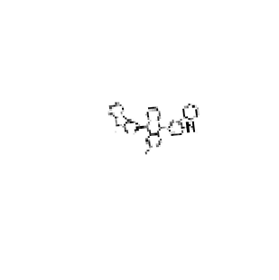 Cc1ccc2c(-c3ccc4c(c3)c3c(n4C)C=CCC3)c3ccccc3c(-c3ccc4c(c3)-c3ccccc3C4(C)C)c2c1